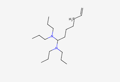 C=C[SiH2]CCCC(N(CCC)CCC)N(CCC)CCC